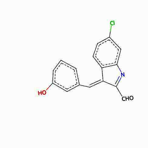 O=CC1=Nc2cc(Cl)ccc2C1=Cc1cccc(O)c1